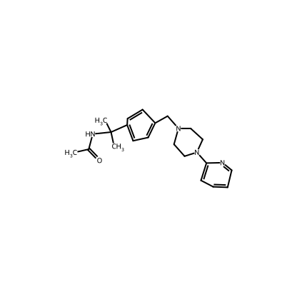 CC(=O)NC(C)(C)c1ccc(CN2CCN(c3ccccn3)CC2)cc1